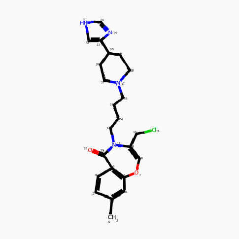 Cc1ccc2c(c1)OC=C(CCl)N(CCCCN1CCC(c3c[nH]cn3)CC1)C2=O